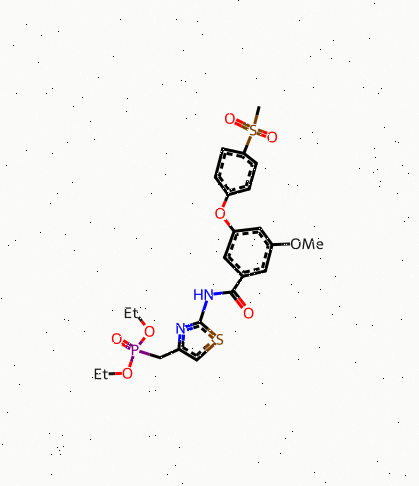 CCOP(=O)(Cc1csc(NC(=O)c2cc(OC)cc(Oc3ccc(S(C)(=O)=O)cc3)c2)n1)OCC